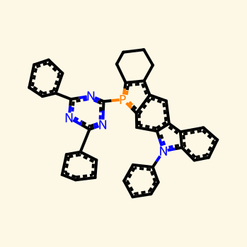 c1ccc(-c2nc(-c3ccccc3)nc(-p3c4c(c5cc6c7ccccc7n(-c7ccccc7)c6cc53)CCCC4)n2)cc1